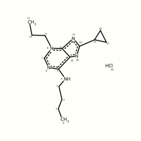 CCCCNc1ncn(CCC)c2nc(C3CC3)nc1-2.Cl